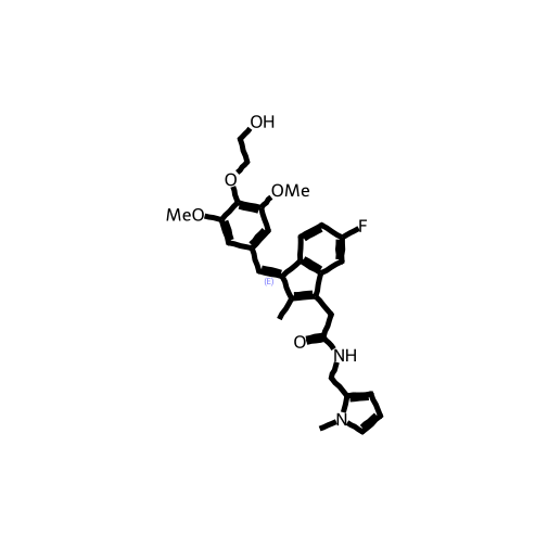 COc1cc(/C=C2/C(C)=C(CC(=O)NCc3cccn3C)c3cc(F)ccc32)cc(OC)c1OCCO